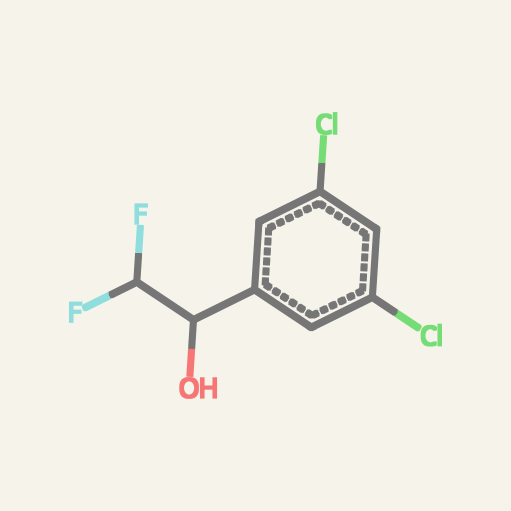 OC(c1cc(Cl)cc(Cl)c1)C(F)F